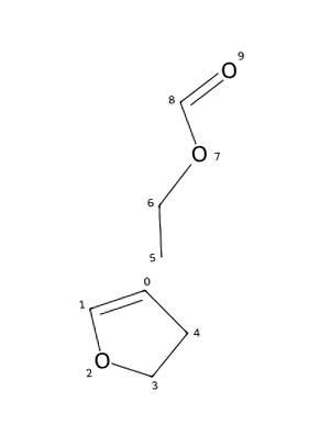 C1=COCC1.CCOC=O